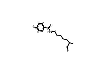 CCC(C)CCCCCNC(=O)c1ccc(C)cc1